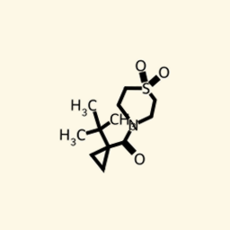 CC(C)(C)C1(C(=O)N2CCS(=O)(=O)CC2)CC1